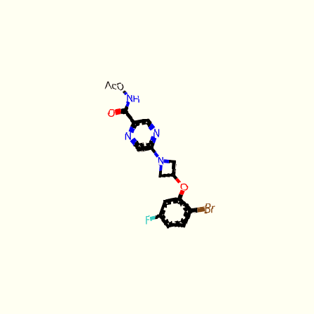 CC(=O)ONC(=O)c1cnc(N2CC(Oc3cc(F)ccc3Br)C2)cn1